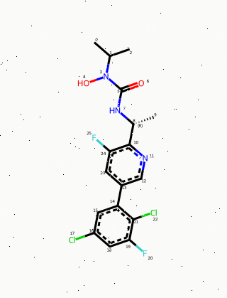 CC(C)N(O)C(=O)N[C@H](C)c1ncc(-c2cc(Cl)cc(F)c2Cl)cc1F